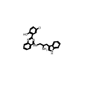 NC(CNc1nc(-c2cc(Cl)ccc2O)nc2ccccc12)Cc1c[nH]c2ccccc12